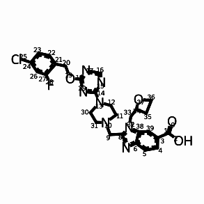 O=C(O)c1ccc2nc(CN3CCN(c4ncnc(OCc5ccc(Cl)cc5F)n4)CC3)n(CC3CCO3)c2c1